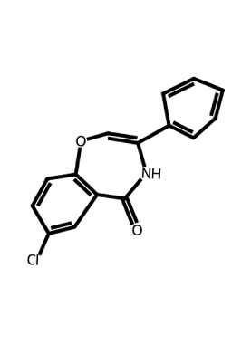 O=C1NC(c2ccccc2)=COc2ccc(Cl)cc21